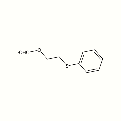 O=[C]OCCSc1ccccc1